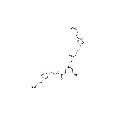 CCCCCCCCCCCCn1cc(CCOC(=O)CCN(CCC(=O)OCCc2cn(CCCCCCCCCCCC)nn2)CCN(C)C)nn1